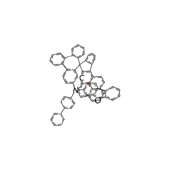 c1ccc(-c2ccc(N(c3ccc4c(c3)C3(c5ccccc5-c5ccccc5-4)c4ccccc4-c4c3cc3ccc5cccc6ccc4c3c56)c3ccc4c(c3)oc3ccccc34)cc2)cc1